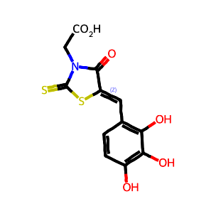 O=C(O)CN1C(=O)/C(=C/c2ccc(O)c(O)c2O)SC1=S